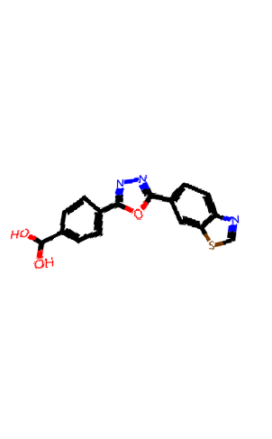 OC(O)c1ccc(-c2nnc(-c3ccc4ncsc4c3)o2)cc1